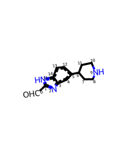 O=Cc1nc2cc(C3CCNCC3)ccc2[nH]1